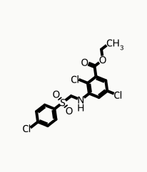 CCOC(=O)c1cc(Cl)cc(NCS(=O)(=O)c2ccc(Cl)cc2)c1Cl